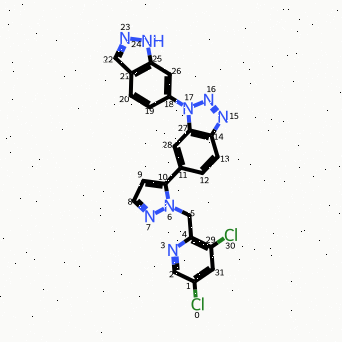 Clc1cnc(Cn2nccc2-c2ccc3nnn(-c4ccc5cn[nH]c5c4)c3c2)c(Cl)c1